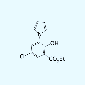 CCOC(=O)c1cc(Cl)cc(-n2cccc2)c1O